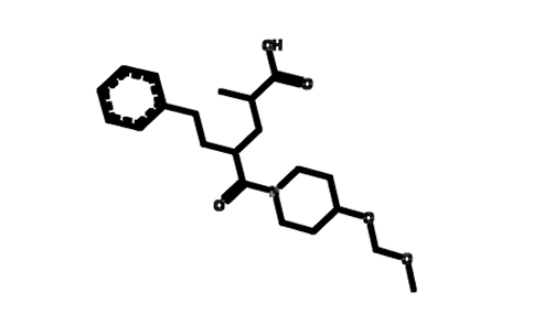 COCOC1CCN(C(=O)C(CCc2ccccc2)CC(C)C(=O)O)CC1